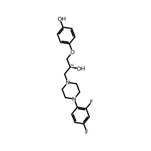 Oc1ccc(OC[C@@H](O)CN2CCN(c3ccc(F)cc3F)CC2)cc1